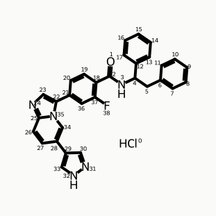 Cl.O=C(NC(Cc1ccccc1)c1ccccc1)c1ccc(-c2cnc3ccc(-c4cn[nH]c4)cn23)cc1F